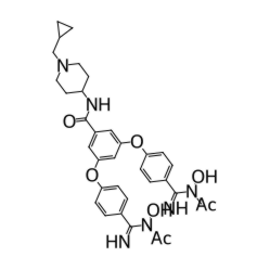 CC(=O)N(O)C(=N)c1ccc(Oc2cc(Oc3ccc(C(=N)N(O)C(C)=O)cc3)cc(C(=O)NC3CCN(CC4CC4)CC3)c2)cc1